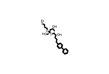 CCSCCCO[C@]1(CO)C[C@H](O)C[C@H]([C@H](O)CCCc2ccc(-c3ccccc3)cc2)O1